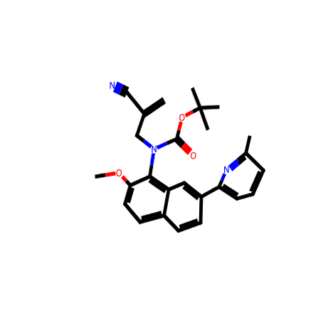 C=C(C#N)CN(C(=O)OC(C)(C)C)c1c(OC)ccc2ccc(-c3cccc(C)n3)cc12